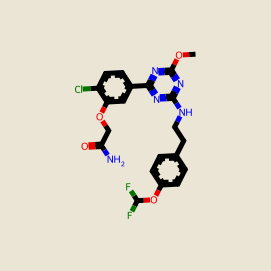 COc1nc(NCCc2ccc(OC(F)F)cc2)nc(-c2ccc(Cl)c(OCC(N)=O)c2)n1